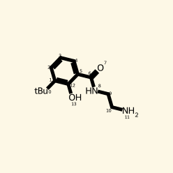 CC(C)(C)c1cccc(C(=O)NCCN)c1O